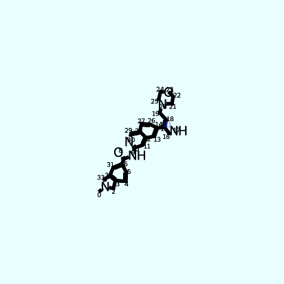 CN1Cc2ccc(C(=O)Nc3cc4cc(/C(C=N)=C\CN5CCOCC5)ccc4cn3)cc2C1